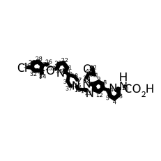 O=C(O)Nc1cccc(-c2ccc3c(c2)nc(CN2CCC(c4cccc(OCc5ccc(Cl)cc5F)n4)CC2)n3CC2CCO2)n1